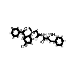 CN(CC(=O)NC(=O)[C@@H](N)Cc1ccccc1)c1ccc(Cl)cc1C(=O)c1ccccc1